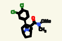 CON(C)C(=O)C1C2CCC(C[C@H]1c1ccc(Cl)c(Cl)c1)N2C